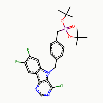 CC(C)(C)OP(=O)(Cc1ccc(Cn2c3cc(F)c(F)cc3c3ncnc(Cl)c32)cc1)OC(C)(C)C